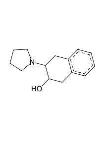 OC1Cc2ccccc2CC1N1CCCC1